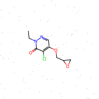 CCn1ncc(OCC2CO2)c(Cl)c1=O